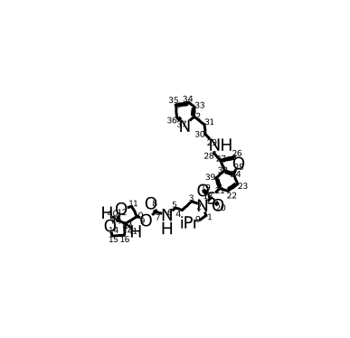 CC(C)CN(CCCNC(=O)OC1CO[C@H]2OCC[C@@H]12)S(=O)(=O)c1ccc2occ(CNCCc3ccccn3)c2c1